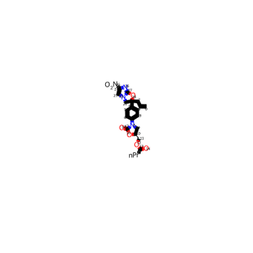 C=CCC1(c2ccc(N3C[C@H](COC(=O)CCC)OC3=O)cc2)Cn2cc([N+](=O)[O-])nc2O1